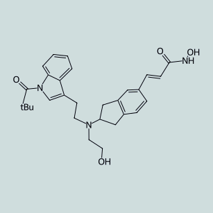 CC(C)(C)C(=O)n1cc(CCN(CCO)C2Cc3ccc(C=CC(=O)NO)cc3C2)c2ccccc21